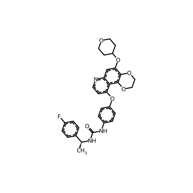 C[C@H](NC(=O)Nc1ccc(Oc2ccnc3cc(OC4CCOCC4)c4c(c23)OCCO4)cc1)c1ccc(F)cc1